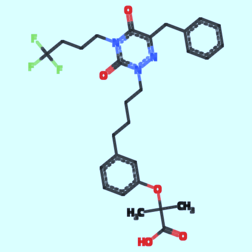 CC(C)(Oc1cccc(CCCCn2nc(Cc3ccccc3)c(=O)n(CCCC(F)(F)F)c2=O)c1)C(=O)O